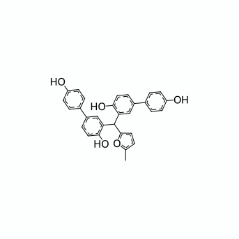 Cc1ccc(C(c2cc(-c3ccc(O)cc3)ccc2O)c2cc(-c3ccc(O)cc3)ccc2O)o1